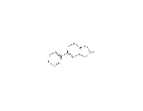 C1=C(c2cccnc2)CCC2CNCC12